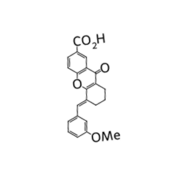 COc1cccc(C=C2CCCc3c2oc2ccc(C(=O)O)cc2c3=O)c1